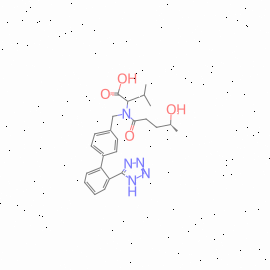 CC(C)C(C(=O)O)N(Cc1ccc(-c2ccccc2-c2nnn[nH]2)cc1)C(=O)CC[C@H](C)O